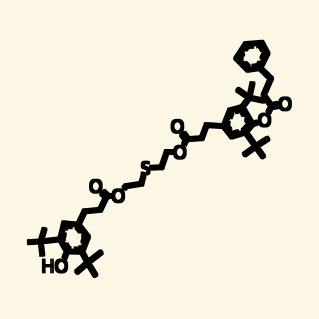 CC(C)(C)c1cc(CCC(=O)OCCSCCOC(=O)CCc2cc(C(C)(C)C)c(OC(=O)CCc3ccccc3)c(C(C)(C)C)c2)cc(C(C)(C)C)c1O